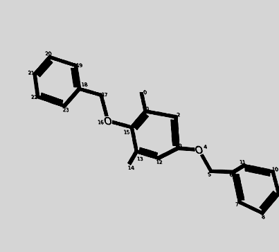 Cc1cc(OCc2ccccc2)cc(C)c1OCc1ccccc1